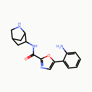 Nc1ccccc1-c1cnc(C(=O)NC2CC3CNC2C3)o1